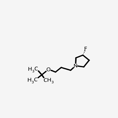 CC(C)(C)OCCCN1CC[C@@H](F)C1